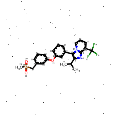 CC(C)c1nc2c(C(F)(F)F)cccn2c1-c1cccc(Oc2cccc(CS(C)(=O)=O)c2)c1